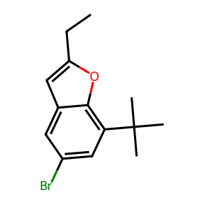 CCc1cc2cc(Br)cc(C(C)(C)C)c2o1